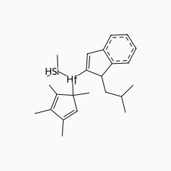 CC1=C[C](C)([Hf]([C]2=Cc3ccccc3C2CC(C)C)[SiH](C)C)C(C)=C1C